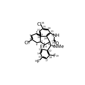 CC[C@@H](C1C=CC=C(Cl)C1)[C@@]1([C@@H](NC)c2ccc(F)cc2F)C(=O)Nc2cc(Cl)ccc21